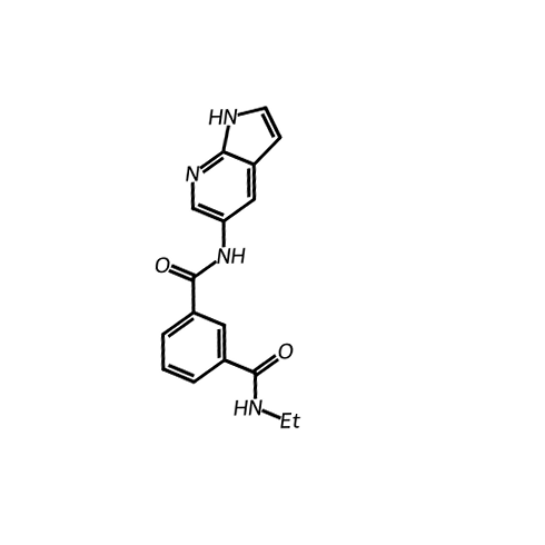 CCNC(=O)c1cccc(C(=O)Nc2cnc3[nH]ccc3c2)c1